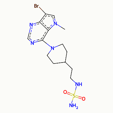 Cn1cc(Br)c2ncnc(N3CCC(CCNS(N)(=O)=O)CC3)c21